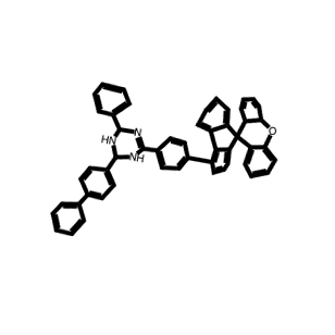 C1=CC2Oc3ccccc3C3(c4ccccc4-c4c(-c5ccc(C6=NC(c7ccccc7)NC(c7ccc(-c8ccccc8)cc7)N6)cc5)cccc43)C2C=C1